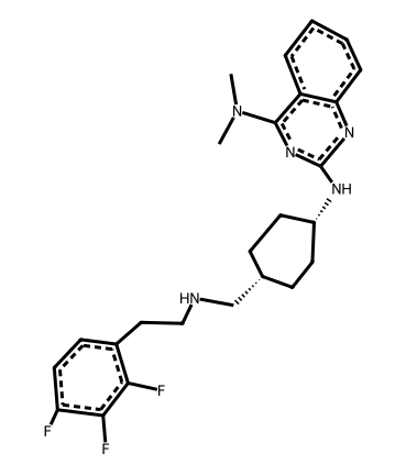 CN(C)c1nc(N[C@H]2CC[C@@H](CNCCc3ccc(F)c(F)c3F)CC2)nc2ccccc12